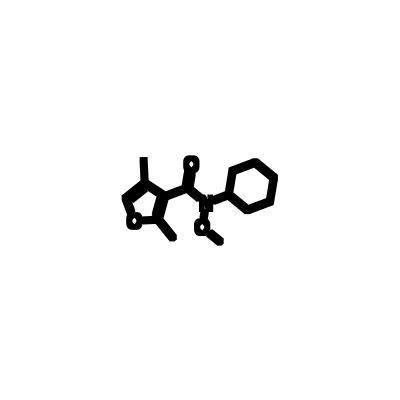 CON(C(=O)c1c(C)coc1C)C1CCCCC1